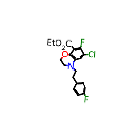 CCOC(=O)c1c(F)c(Cl)cc2c1OCCN2CCc1ccc(F)cc1